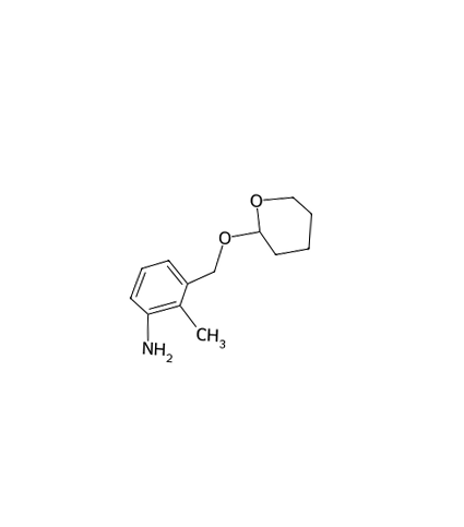 Cc1c(N)cccc1COC1CCCCO1